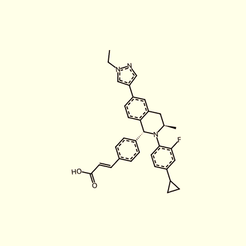 CCn1cc(-c2ccc3c(c2)C[C@@H](C)N(c2ccc(C4CC4)cc2F)[C@@H]3c2ccc(/C=C/C(=O)O)cc2)cn1